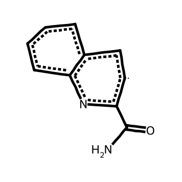 NC(=O)c1[c]cc2ccccc2n1